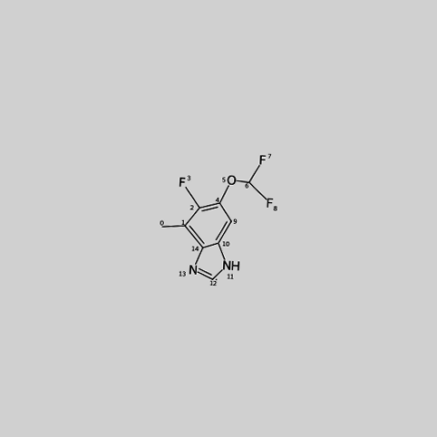 Cc1c(F)c(OC(F)F)cc2[nH][c]nc12